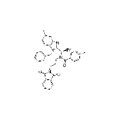 Cc1ccc(C(=O)N(CCCN2C(=O)c3ccccc3C2=O)[C@@H](c2nc3cc(C)ccc3n2Cc2ccccc2)C(C)C)cc1